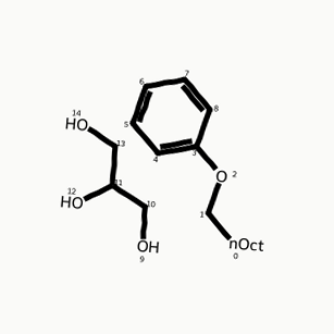 CCCCCCCCCOc1ccccc1.OCC(O)CO